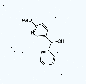 COc1ccc(C(O)c2ccccc2)cn1